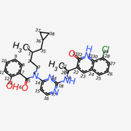 CC(CCN(C(=O)c1ccccc1O)c1ccnc(N[C@@H](C)c2cc3cccc(Cl)c3[nH]c2=O)n1)CC1CC1